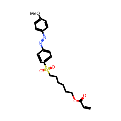 C=CC(=O)OCCCCCCS(=O)(=O)c1ccc(N=Nc2ccc(OC)cc2)cc1